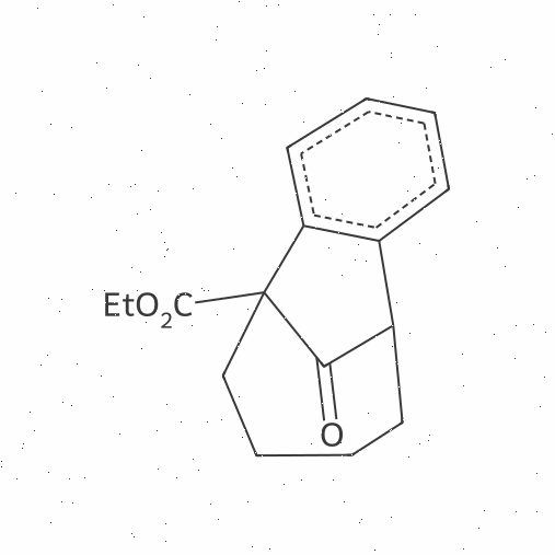 CCOC(=O)C12CCCCC(C1=O)c1ccccc12